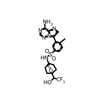 Cc1ccc(S(=O)(=O)NC23CCC(C(O)C(F)(F)F)(CC2)OC3)cc1-c1cnc2c(N)ncnn12